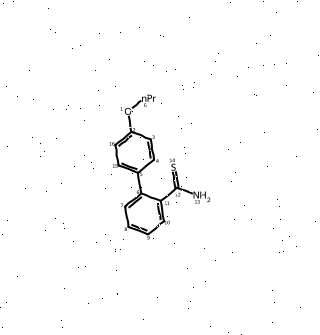 CCCOc1ccc(-c2ccccc2C(N)=S)cc1